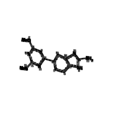 COc1cc(-c2ccc3[nH]c(N)nc3c2)nc(SC)n1